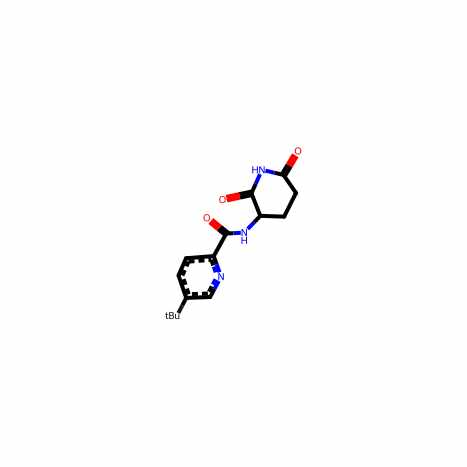 CC(C)(C)c1ccc(C(=O)NC2CCC(=O)NC2=O)nc1